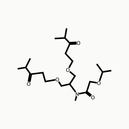 CC(C)OCC(=O)N(C)C(COCCC(=O)C(C)C)COCCC(=O)C(C)C